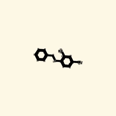 [CH2]c1ccc(OCc2ccccc2)c(C(F)(F)F)c1